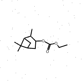 C[CH]OC(=O)OC1CC2CC(C1C)C2(C)C